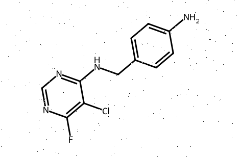 Nc1ccc(CNc2ncnc(F)c2Cl)cc1